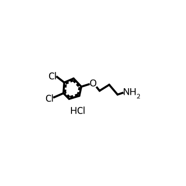 Cl.NCCCOc1ccc(Cl)c(Cl)c1